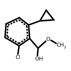 COC(O)c1c(Cl)cccc1C1CC1